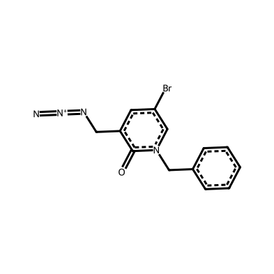 [N-]=[N+]=NCc1cc(Br)cn(Cc2ccccc2)c1=O